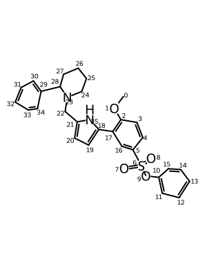 COc1ccc(S(=O)(=O)Oc2ccccc2)cc1-c1ccc(CN2CCCCC2c2ccccc2)[nH]1